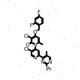 Cc1cnc(C(C)C)nc1-c1cc(-n2c(C)cc(OCc3ccc(F)cc3F)c(Cl)c2=O)c(Cl)cn1